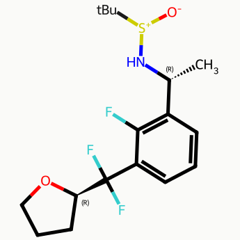 C[C@@H](N[S+]([O-])C(C)(C)C)c1cccc(C(F)(F)[C@H]2CCCO2)c1F